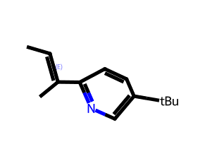 C/C=C(\C)c1ccc(C(C)(C)C)cn1